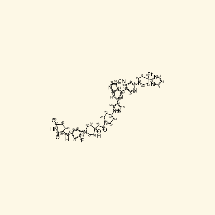 CCC1(c2ncccn2)CCN(c2ccc(-c3nc(-c4cnn(C5CCN(C(=O)CC6(O)CCN(c7ccc(NC8CCC(=O)NC8=O)cc7F)CC6)CC5)c4)cn4ncc(C#N)c34)cn2)CC1